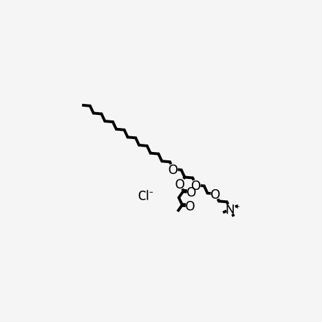 CCCCCCCCCCCCCCCCOCC(COCCOCC[N+](C)(C)C)OC(=O)CC(C)=O.[Cl-]